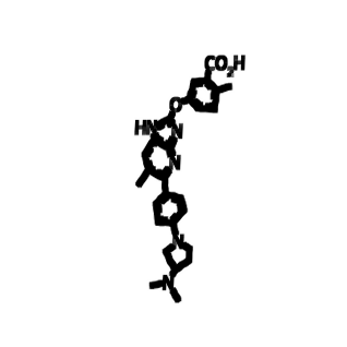 Cc1ccc(Oc2nc3nc(-c4ccc(N5CCC(N(C)C)C5)cc4)c(C)cc3[nH]2)cc1C(=O)O